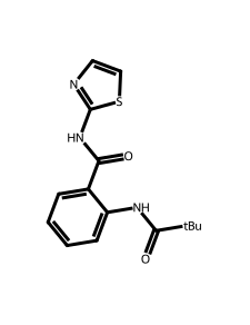 CC(C)(C)C(=O)Nc1ccccc1C(=O)Nc1nccs1